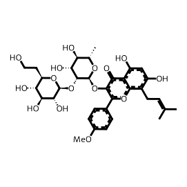 COc1ccc(-c2oc3c(CC=C(C)C)c(O)cc(O)c3c(=O)c2O[C@@H]2O[C@@H](C)[C@H](O)[C@@H](O)[C@H]2O[C@@H]2O[C@H](CCO)[C@@H](O)[C@H](O)[C@H]2O)cc1